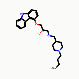 CCCCCCCCCCCCCN1CCC(CNC[C@H](O)COc2cccc3[nH]c4ccccc4c23)CC1